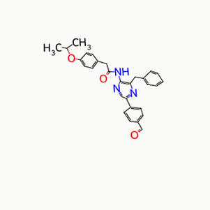 CC(C)Oc1ccc(CC(=O)Nc2ncc(-c3ccc(C=O)cc3)nc2Cc2ccccc2)cc1